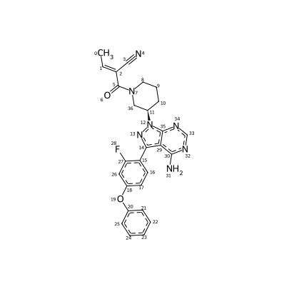 C/C=C(\C#N)C(=O)N1CCC[C@@H](n2nc(-c3ccc(Oc4ccccc4)cc3F)c3c(N)ncnc32)C1